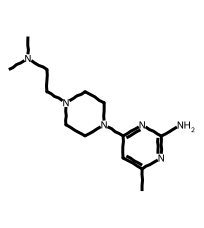 Cc1cc(N2CCN(CCN(C)C)CC2)nc(N)n1